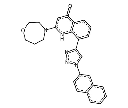 O=c1cc(N2CCCOCC2)[nH]c2c(-c3cn(-c4ccc5ccccc5c4)nn3)cccc12